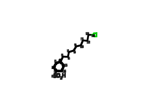 O=S(=O)(O)c1ccc(CCCCCCCCCCl)cc1